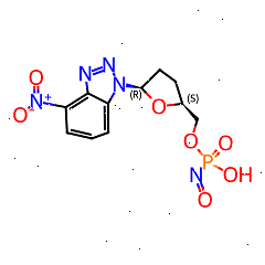 O=NP(=O)(O)OC[C@@H]1CC[C@H](n2nnc3c([N+](=O)[O-])cccc32)O1